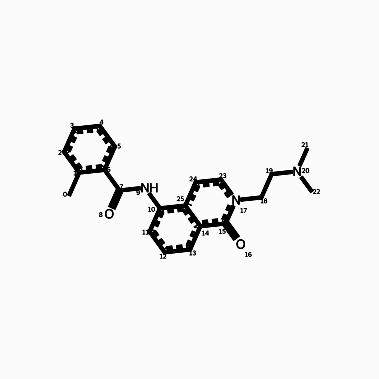 Cc1ccccc1C(=O)Nc1cccc2c(=O)n(CCN(C)C)ccc12